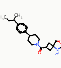 CC[C@@H](C)c1ccc(C2CCN(C(=O)C3CC4(COCN4)C3)CC2)cc1